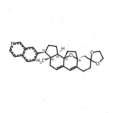 C[C@]12CC=C3C=C4CCC5(C[C@]46CC[C@]3(O6)[C@@H]1CC[C@@H]2c1ccc2ccncc2c1)OCCO5